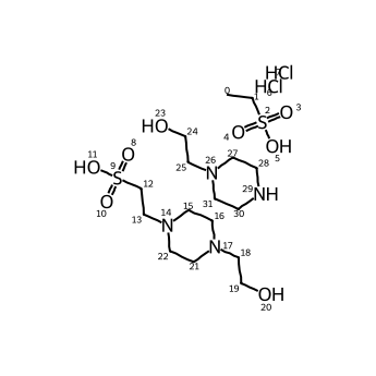 CCS(=O)(=O)O.Cl.Cl.O=S(=O)(O)CCN1CCN(CCO)CC1.OCCN1CCNCC1